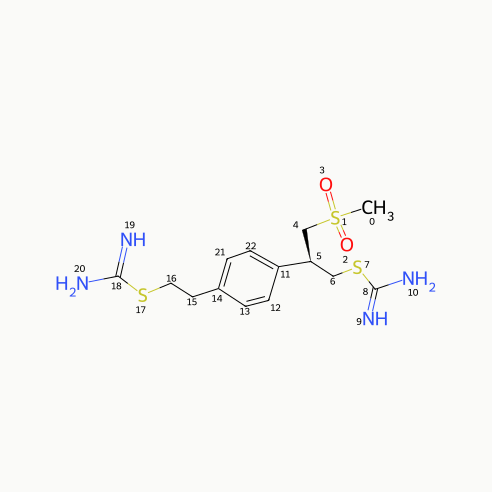 CS(=O)(=O)C[C@@H](CSC(=N)N)c1ccc(CCSC(=N)N)cc1